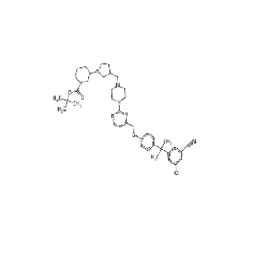 CC(C)(C)OC(=O)N1CCCC(N2CCC(CN3CCN(c4nccc(COc5ccc(C(C)(C)c6cc(Cl)cc(C#N)c6)cc5)n4)CC3)C2)C1